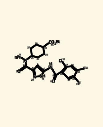 CCCN(C(=O)c1cc(NC(=O)c2cc(F)c(F)cc2Cl)[nH]n1)C1CCC(C(=O)OCC)CC1